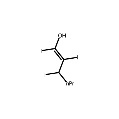 CCCC(I)C(I)=C(O)I